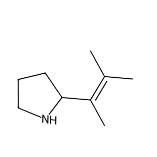 CC(C)=C(C)C1CCCN1